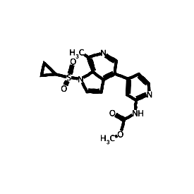 COC(=O)Nc1cc(-c2cnc(C)c3c2ccn3S(=O)(=O)C2CC2)ccn1